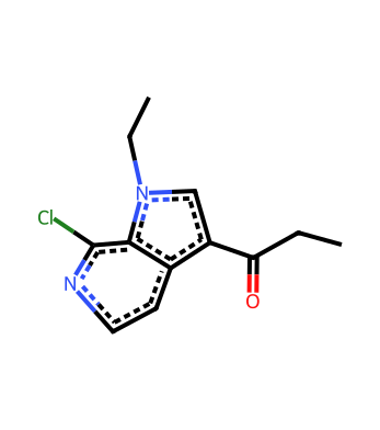 CCC(=O)c1cn(CC)c2c(Cl)nccc12